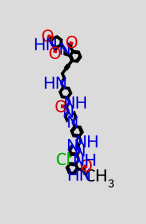 CNC(=O)c1ccccc1Nc1nc(Nc2ccc(N3CCN(C(=O)NC4CCC(NCCC#Cc5cccc6c5CN(C5CCC(=O)NC5=O)C6=O)CC4)CC3)cc2)ncc1Cl